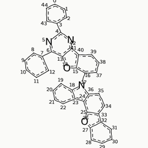 c1ccc(-c2nc(-c3ccccc3)c3oc4c(-n5c6ccccc6c6c7oc8ccccc8c7ccc65)cccc4c3n2)cc1